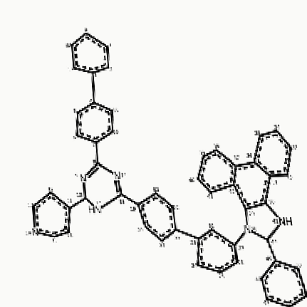 c1ccc(-c2ccc(C3=NC(c4ccncc4)NC(c4ccc(-c5cccc(N6c7c(c8ccccc8c8ccccc78)NC6c6ccccc6)c5)cc4)=N3)cc2)cc1